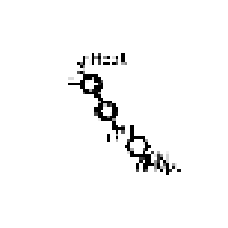 CCCCCCCOc1ccc(-c2ccc(C(=O)OC3CCC(C#N)(CCCCCCC)CC3)cc2)cc1F